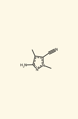 Cc1c(N)nn(C)c1C#N